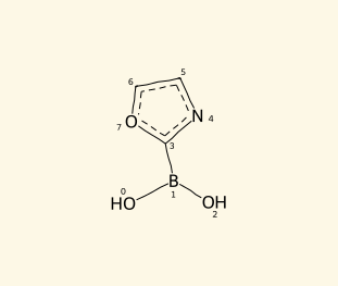 OB(O)c1ncco1